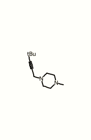 CN1CCN(CC#CC(C)(C)C)CC1